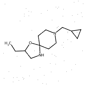 CCC1CNC2(CCN(CC3CC3)CC2)O1